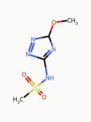 COC1N=NC(NS(C)(=O)=O)=N1